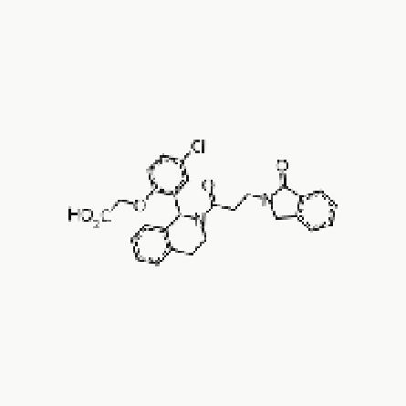 O=C(O)COc1ccc(Cl)cc1C1c2ccccc2CCN1C(=O)CCN1Cc2ccccc2C1=O